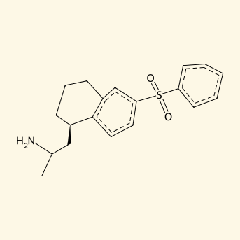 CC(N)C[C@H]1CCCc2cc(S(=O)(=O)c3ccccc3)ccc21